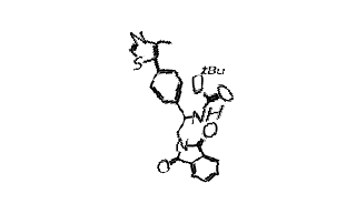 Cc1ncsc1-c1ccc(C(CN2C(=O)c3ccccc3C2=O)NC(=O)OC(C)(C)C)cc1